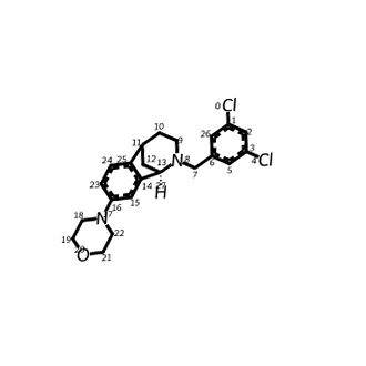 Clc1cc(Cl)cc(CN2CCC3C[C@@H]2c2cc(N4CCOCC4)ccc23)c1